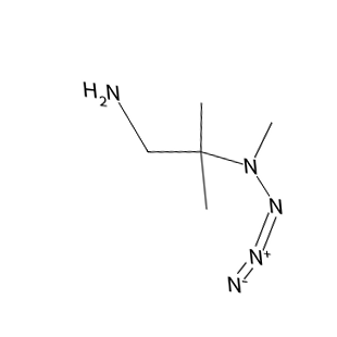 CN(N=[N+]=[N-])C(C)(C)CN